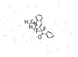 C=Nc1ccccc1/C=C(\C)C(F)(F)C(=O)c1ccccc1